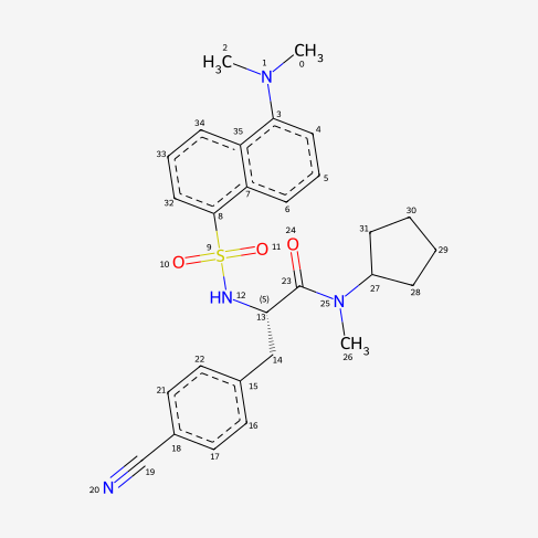 CN(C)c1cccc2c(S(=O)(=O)N[C@@H](Cc3ccc(C#N)cc3)C(=O)N(C)C3CCCC3)cccc12